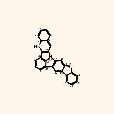 C1=CC2=Cc3c(c4cccc5c6cc7c(cc6n3c45)oc3ccccc37)NC2C=C1